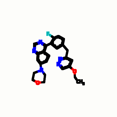 CCOc1cnnc(Cc2ccc(F)c(-c3ncnc4cc(N5CCOCC5)ccc34)c2)c1